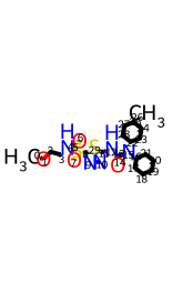 COCCNS(=O)(=O)c1nnc(NC(=O)N(C2CCCCC2)[C@H]2CC[C@H](C)CC2)s1